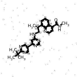 CNC(=O)c1ccnc2c([C@H](C)CNc3cc(-c4cnc(C(C)(C)C)nc4)ncn3)cccc12